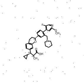 COc1cc(-c2ccc([C@@H]3CCc4ccc([C@H](C5CC5)[C@H](C)C(=O)O)cc4O3)cc2CN2CCCCC2)c(F)cn1